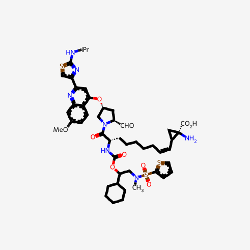 COc1ccc2c(O[C@@H]3C[C@@H](C=O)N(C(=O)[C@H](CCCCC/C=C\C4C[C@]4(N)C(=O)O)NC(=O)OC(CN(C)S(=O)(=O)c4cccs4)C4CCCCC4)C3)cc(-c3csc(NC(C)C)n3)nc2c1